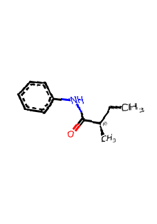 CC[C@@H](C)C(=O)Nc1ccccc1